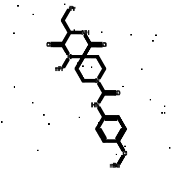 CCCCOc1ccc(NC(=O)N2CCC3(CC2)C(=O)NC(CC(C)C)C(=O)N3CCC)cc1